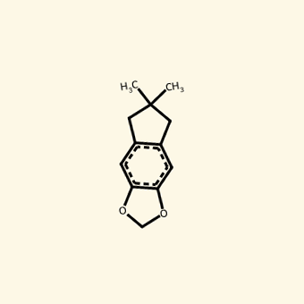 CC1(C)Cc2cc3c(cc2C1)OCO3